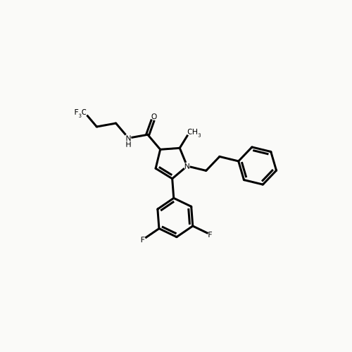 CC1C(C(=O)NCCC(F)(F)F)C=C(c2cc(F)cc(F)c2)N1CCc1ccccc1